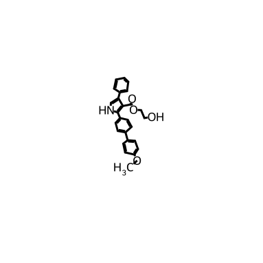 COc1ccc(-c2ccc(-c3[nH]cc(-c4ccccc4)c3C(=O)OCCO)cc2)cc1